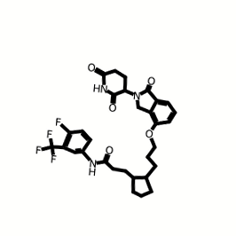 O=C1CCC(N2Cc3c(OCCCC4CCCC4CCC(=O)Nc4ccc(F)c(C(F)(F)F)c4)cccc3C2=O)C(=O)N1